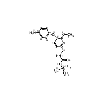 COc1cc(CNC(=O)OC(C)(C)C)ccc1Oc1ccc(N)cn1